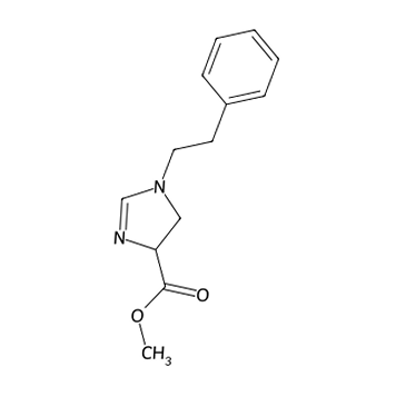 COC(=O)C1CN(CCc2ccccc2)C=N1